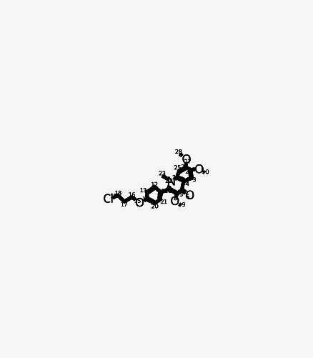 COc1cc2c(=O)c(OC)c(-c3ccc(OCCCCl)cc3)n(C)c2cc1OC